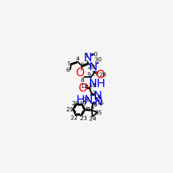 C=NC1=C(/C=C\C)OC[C@H](NC(=O)c2nnc(C3(c4ccccc4)CC3)[nH]2)C(=O)N1C